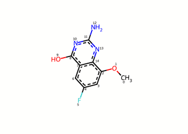 COc1cc(F)cc2c(O)nc(N)nc12